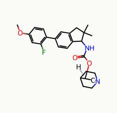 COc1ccc(-c2ccc3c(c2)CC(C)(C)C3NC(=O)O[C@H]2CN3CCC2CC3)c(F)c1